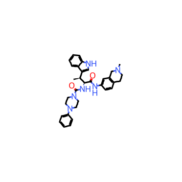 C[C@@H](c1c[nH]c2ccccc12)[C@@H](NC(=O)N1CCN(c2ccccc2)CC1)C(=O)Nc1ccc2c(c1)CN(C)CC2